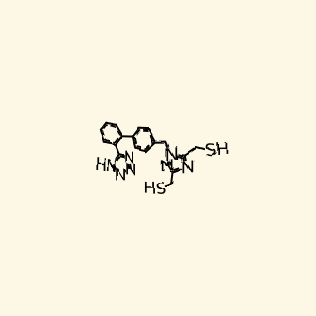 SCc1nc(CS)n(Cc2ccc(-c3ccccc3-c3nnn[nH]3)cc2)n1